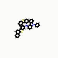 c1ccc(-n2c3ccccc3c3c(N(c4ccc5c(c4)sc4c6ccccc6ccc54)c4cccc5sc6ccccc6c45)cccc32)cc1